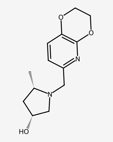 C[C@H]1C[C@@H](O)CN1Cc1ccc2c(n1)OCCO2